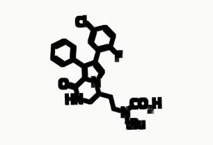 CC(C)(C)N(CCC1CNC(=O)c2c(-c3ccccc3)c(-c3cc(Cl)ccc3F)cn21)C(=O)O